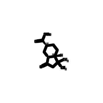 COC(=O)[C@@H]1CC[C@H]2N(C1)C(=O)CC2(C)C